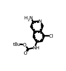 CC(C)(C)OC(=O)Nc1cc(Cl)c2cnc(N)cc2c1